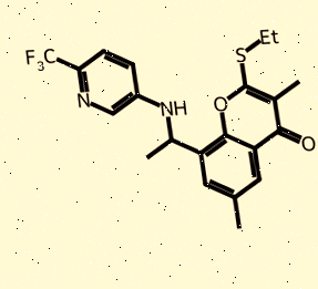 CCSc1oc2c(C(C)Nc3ccc(C(F)(F)F)nc3)cc(C)cc2c(=O)c1C